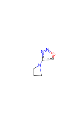 c1onnc1N1CCC1